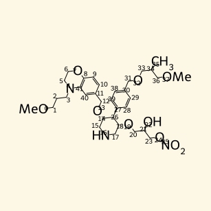 COCCCN1CCOc2ccc(CO[C@H]3CNC[C@@H](OC[C@@H](O)CO[N+](=O)[O-])[C@@H]3c3ccc(COC[C@@H](C)COC)cc3)cc21